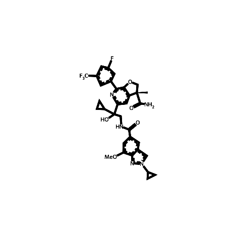 COc1cc(C(=O)NCC(O)(c2cc3c(c(-c4cc(F)cc(C(F)(F)F)c4)n2)OC[C@]3(C)C(N)=O)C2CC2)cc2cn(C3CC3)nc12